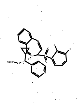 CC(=O)NC[C@@H](c1ccncc1[C@@]1(S(=O)(=O)c2cccc(Cl)c2Cl)C=Nc2ccccc2C=[N+]1[O-])C1CC1